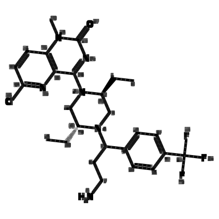 CC[C@H]1CN(C(CCN)c2ccc(C(F)(F)F)cc2)[C@H](CC)CN1c1nc(=O)n(C)c2ccc(Cl)nc12